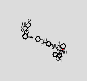 O=C1CCC(N2Cc3c(C#C[C@H]4CC[C@H](NC(=O)c5ccc(NC(=O)[C@@H]6NC7(CCCCC7)[C@@]7(C(=O)Nc8cc(Cl)ccc87)[C@H]6c6cccc(Cl)c6F)cc5)CC4)cccc3C2=O)C(=O)N1